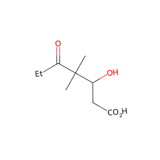 CCC(=O)C(C)(C)C(O)CC(=O)O